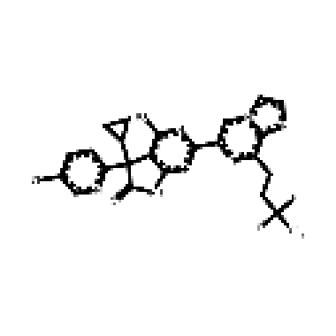 O=C1Nc2nc(-c3cn4ccnc4c(CCC(F)(F)C(F)(F)F)n3)nc(O)c2C1(c1ccc(Cl)cn1)C1CC1